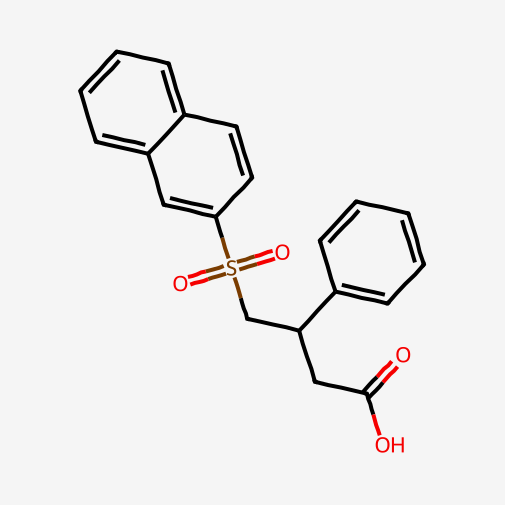 O=C(O)CC(CS(=O)(=O)c1ccc2ccccc2c1)c1ccccc1